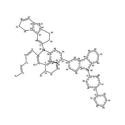 CC=CC/C=C\C(=C(/C)C1=CC=CCC1C)N(C1=Cc2c(sc3c2CCC=C3)CC1)c1ccc(-c2ccc3c(c2)c2ccccc2n3-c2ccc(-c3ccccc3)cc2)cc1